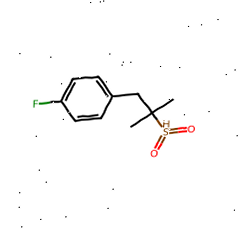 CC(C)(Cc1ccc(F)cc1)[SH](=O)=O